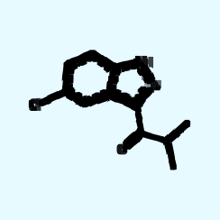 CC(C)C(=O)c1n[nH]c2ccc(Cl)cc12